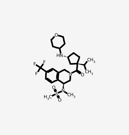 CC(C)[C@]1(C(=O)N2Cc3cc(C(F)(F)F)ccc3[C@H](N(C)S(C)(=O)=O)C2)CC[C@@H](NC2CCOCC2)C1